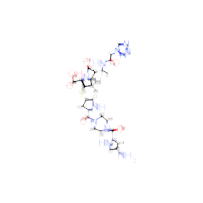 CC(NC(=O)Cn1cnnn1)[C@H]1C(=O)N2C(C(=O)O)=C(S[C@@H]3CN[C@H](C(=O)N4CCN(C(=O)[C@H]5C[C@@H](N)CN5)CC4)C3)[C@H](C)[C@H]12